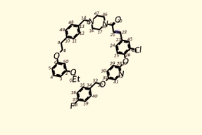 CCOc1cccc(OCCc2ccc(CN3CCN(C(=O)/C=C/c4ccc(Oc5ccc(OCc6ccc(F)cc6)cn5)c(Cl)c4)CC3)cc2)c1